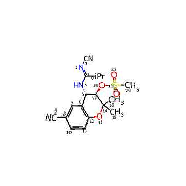 CC(C)/C(=N\C#N)N[C@H]1c2cc(C#N)ccc2OC(C)(C)[C@@H]1OS(C)(=O)=O